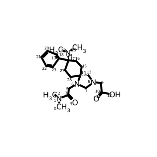 CN(C)C(=O)CN1CN(CC(=O)O)C[C@]12CC[C@](c1ccccc1)(N(C)C)CC2